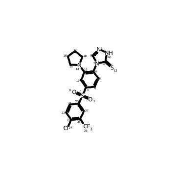 O=S(=O)(c1ccc(-n2cn[nH]c2=S)c(N2CCCC2)c1)c1ccc(Cl)c(C(F)(F)F)c1